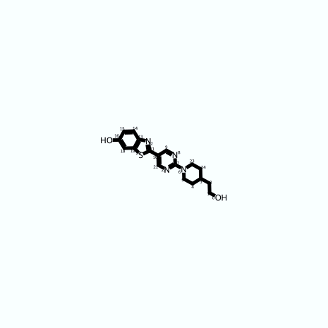 OCCC1CCN(c2ncc(-c3nc4ccc(O)cc4s3)cn2)CC1